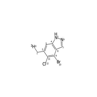 [2H]Cc1cc2[nH]ncc2c(Br)c1Cl